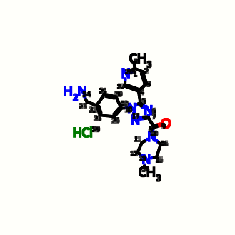 Cc1ccc(-c2nc(C(=O)N3CCN(C)CC3)nn2-c2ccc(CN)cc2)cn1.Cl